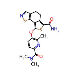 Cc1nc(C(=O)N(C)C)ccc1Oc1sc(C(N)=O)c2c1-c1sncc1CC2